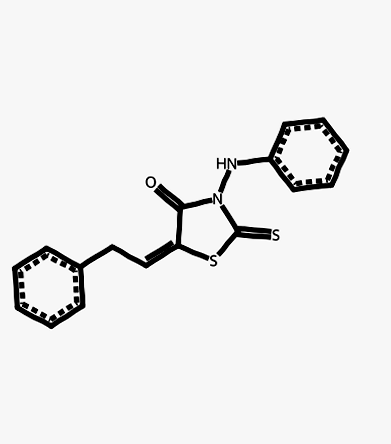 O=C1C(=CCc2ccccc2)SC(=S)N1Nc1ccccc1